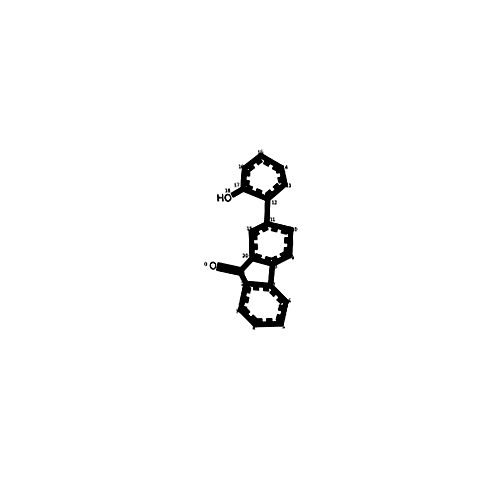 O=C1c2ccccc2-c2ccc(-c3ccccc3O)cc21